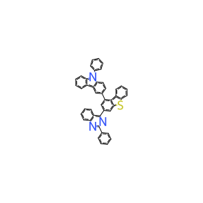 c1ccc(-c2nc(-c3cc(-c4ccc5c(c4)c4ccccc4n5-c4ccccc4)c4c(c3)sc3ccccc34)c3ccccc3n2)cc1